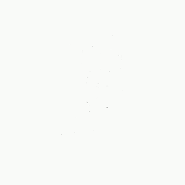 C[C@@H](c1c[nH]c(=O)c2cc(F)c(F)cc12)N(C)C(=O)Nc1ccc(F)c(F)c1